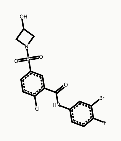 O=C(Nc1ccc(F)c(Br)c1)c1cc(S(=O)(=O)N2CC(O)C2)ccc1Cl